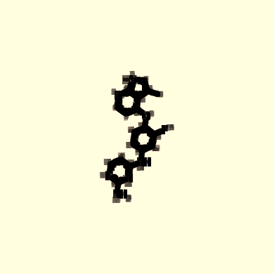 Cc1c[nH]c2nccc(Oc3ccc(Nc4ccnc(N)n4)cc3F)c12